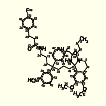 CCCCN1CCc2cc(OC)c(OC)cc2C1(CCCC(CCCNC(=O)CCc1ccc(F)cc1)(c1ccccc1)c1ccccc1)NC(C)=O.Cl